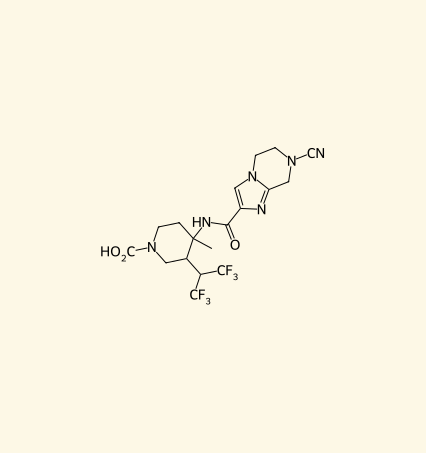 CC1(NC(=O)c2cn3c(n2)CN(C#N)CC3)CCN(C(=O)O)CC1C(C(F)(F)F)C(F)(F)F